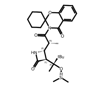 C[C@@H](C(=O)N1C(=O)c2ccccc2OC12CCCCC2)[C@H]1NC(=O)[C@@H]1[C@@](C)(O[SiH](C)C)C(C)(C)C